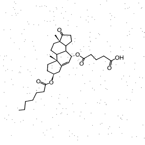 CCCCCCC(=O)O[C@H]1CC[C@@]2(C)C(=C[C@@H](OC(=O)CCCC(=O)O)C3C2CC[C@]2(C)C(=O)CCC32)C1